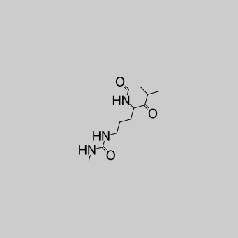 CNC(=O)NCCCC(NC=O)C(=O)C(C)C